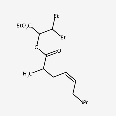 CCOC(=O)C(OC(=O)C(C)C/C=C\CC(C)C)C(CC)CC